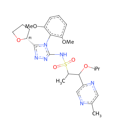 COc1cccc(OC)c1-n1c(NS(=O)(=O)C(C)C(OC(C)C)c2cnc(C)cn2)nnc1[C@H]1CCCO1